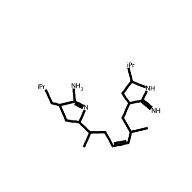 CC(C)CC1CC(C(C)C/C=C\C(C)CC2CC(C(C)C)NC2=N)N=C1N